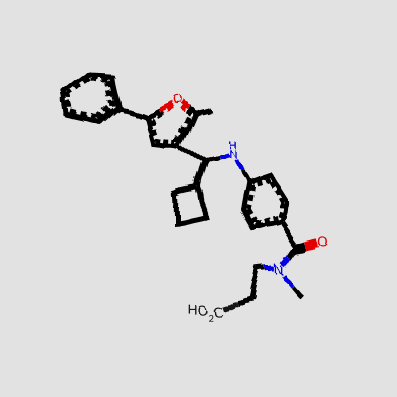 Cc1oc(-c2ccccc2)cc1C(Nc1ccc(C(=O)N(C)CCC(=O)O)cc1)C1CCC1